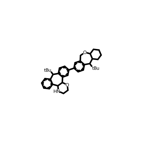 CC(C)(C)C1c2ccccc2C2NCCOC2c2cc(-c3ccc4c(c3)COC3CCCCC3C4C(C)(C)C)ccc21